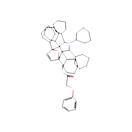 O=C(COc1ccccc1)NCC12C=CC(C3CCCCC3)(O1)C1(C3CCCCC3)C(C3CCCCC3)N(C3CCCCC3)C(C3CCCCC3)C21C1CCCCC1